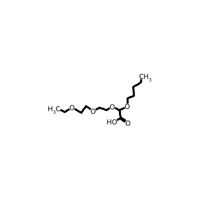 CCCCCOC(OCCOCCOCC)C(=O)O